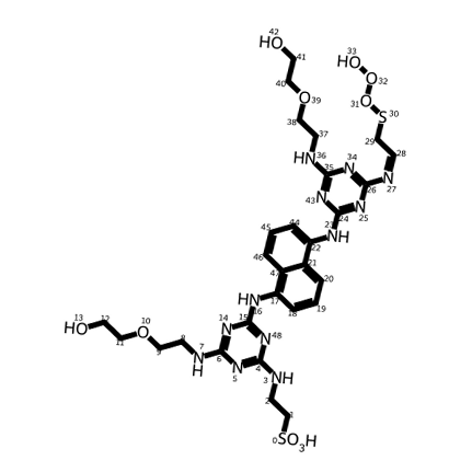 O=S(=O)(O)CCNc1nc(NCCOCCO)nc(Nc2cccc3c(Nc4nc(/N=C\CSOOO)nc(NCCOCCO)n4)cccc23)n1